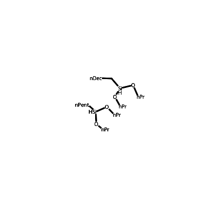 CCCCCCCCCCC[SiH](OCCC)OCCC.CCCCC[SiH](OCCC)OCCC